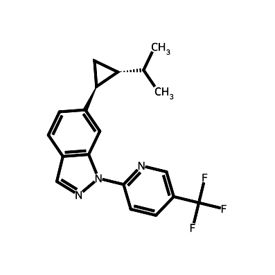 CC(C)[C@H]1C[C@@H]1c1ccc2cnn(-c3ccc(C(F)(F)F)cn3)c2c1